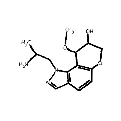 COC1c2c(ccc3cnn(CC(C)N)c23)OCC1O